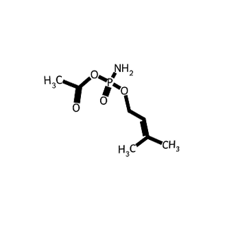 CC(=O)OP(N)(=O)OCC=C(C)C